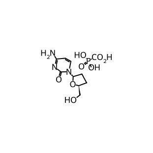 Nc1ccn([C@H]2CC[C@@H](CO)O2)c(=O)n1.O=C(O)P(=O)(O)O